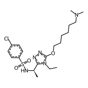 CCn1c(OCCCCCCN(C)C)nnc1[C@@H](C)NS(=O)(=O)c1ccc(Cl)cc1